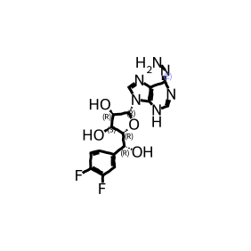 N/N=c1/nc[nH]c2c1ncn2[C@@H]1O[C@H]([C@H](O)c2ccc(F)c(F)c2)[C@@H](O)[C@H]1O